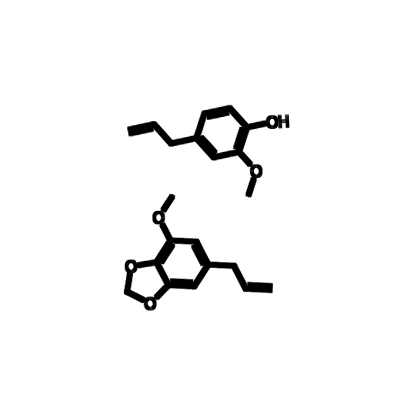 C=CCc1cc(OC)c2c(c1)OCO2.C=CCc1ccc(O)c(OC)c1